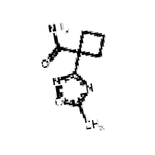 Cc1nc(C2(C(N)=O)CCC2)no1